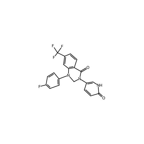 O=C1c2ccc(C(F)(F)F)cc2N(c2ccc(F)cc2)CN1c1ccc(=O)[nH]c1